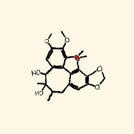 COc1cc2c(c(OC)c1OC)-c1c(cc3c(c1OC)OCO3)CC(C)C(C)(O)[C]2O